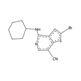 N#Cc1cnc(NC2CCCCC2)c2cc(Br)sc12